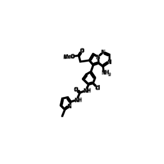 COC(=O)Cc1cn2ncnc(N)c2c1-c1ccc(NC(=O)Nc2cccc(C)n2)c(Cl)c1